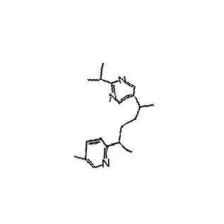 Cc1ccc(C(C)CCC(C)c2cnc(C(C)C)nc2)nc1